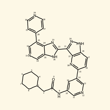 O=C(CC1CCCCC1)Nc1cncc(-c2ccc3[nH]nc(-c4nc5c(-c6ccncc6)cncc5[nH]4)c3n2)c1